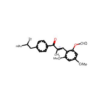 CCCCC(CC)Cc1ccc(C(=O)/C(C)=C/c2c(OC)cc(OC)cc2OC=O)cc1